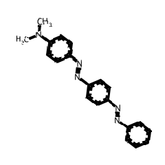 CN(C)c1ccc(/N=N/c2ccc(/N=N/c3ccccc3)cc2)cc1